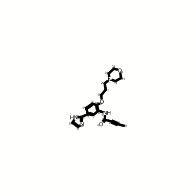 CC#CC(=O)Nc1cc(-c2ncc[nH]2)ccc1OCCCN1CCOCC1